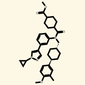 COC(=O)C1CCC(C(=O)N(C[C@H]2CC[C@H](c3ccc(OC)c(C)c3)CC2)c2cccc(-c3cnn(C4CC4)c3)c2)CC1